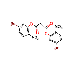 O=C(CC(=O)Oc1cc(Br)ccc1[N+](=O)[O-])Oc1cc(Br)ccc1[N+](=O)[O-]